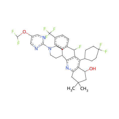 CC1(C)Cc2nc(C3CCN(c4ncc(OC(F)F)cn4)CC3)c(C(F)c3ccc(C(F)(F)F)cc3)c(C3CCC(F)(F)CC3)c2C(O)C1